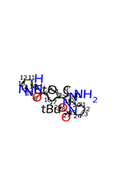 CCOC(=O)c1c(-c2ccc(C(=O)Nc3cccnn3)cc2)nc(C2CCCCN2C(=O)OC(C)(C)C)n1N